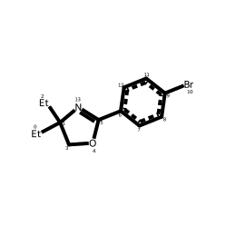 CCC1(CC)COC(c2ccc(Br)cc2)=N1